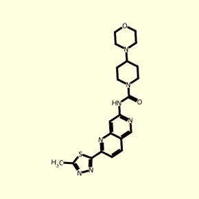 Cc1nnc(-c2ccc3cnc(NC(=O)N4CCC(N5CCOCC5)CC4)cc3n2)s1